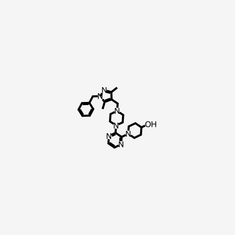 Cc1nn(Cc2ccccc2)c(C)c1CN1CCN(c2nccnc2N2CCC(O)CC2)CC1